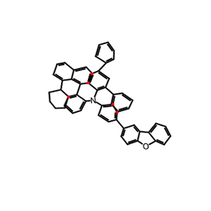 c1ccc(-c2ccc(N(c3ccc(-c4ccc5oc6ccccc6c5c4)cc3)c3ccccc3-c3cccc4cccc(C5CCCCC5)c34)c(-c3ccccc3)c2)cc1